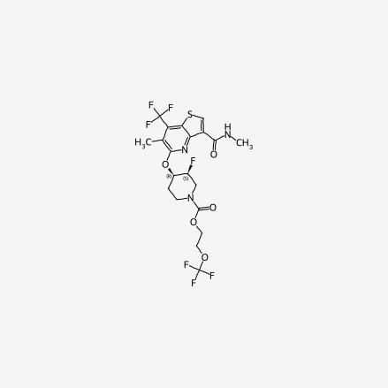 CNC(=O)c1csc2c(C(F)(F)F)c(C)c(O[C@@H]3CCN(C(=O)OCCOC(F)(F)F)C[C@@H]3F)nc12